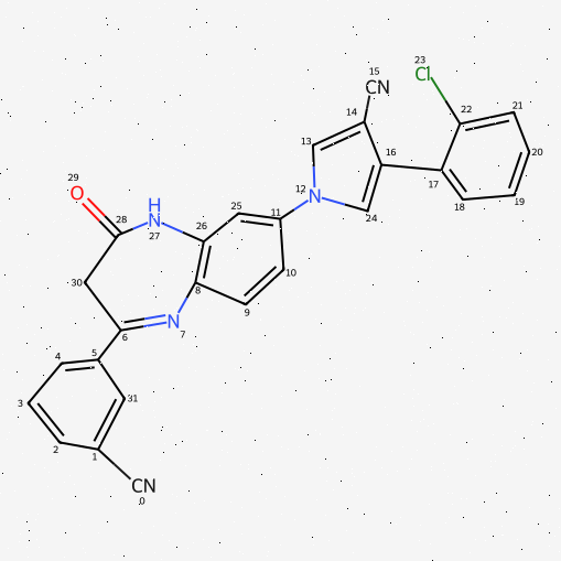 N#Cc1cccc(C2=Nc3ccc(-n4cc(C#N)c(-c5ccccc5Cl)c4)cc3NC(=O)C2)c1